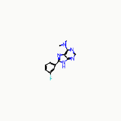 CN(C)c1ncnc2[nH]c(-c3cccc(F)c3)nc12